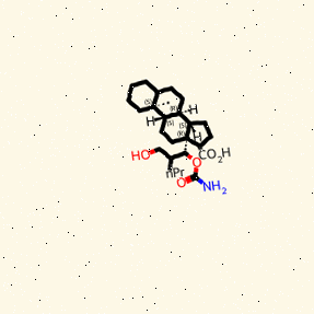 CCCC(CO)C(OC(N)=O)[C@]12CC[C@H]3[C@@H](CCC4CCCC[C@@]43C)[C@@H]1CCC2C(=O)O